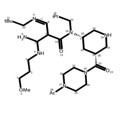 COCCCNC(N)C(/C=N\CC(C)(C)C)C(=O)N(CC(C)C)[C@@H]1CNC[C@H](C(=O)N2CCN(C(C)=O)CC2)C1